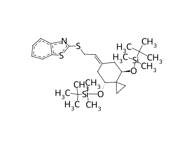 CC(C)(C)[Si](C)(C)O[C@@H]1CC(=CCSc2nc3ccccc3s2)C[C@@H](O[Si](C)(C)C(C)(C)C)C12CC2